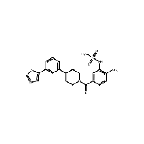 Cc1ccc(C(=O)N2CCC(c3cccc(-c4cncs4)c3)CC2)cc1NS(C)(=O)=O